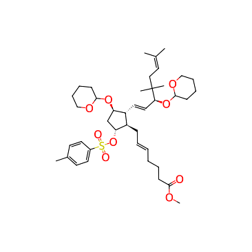 COC(=O)CCCC=CC[C@@H]1[C@@H](C=C[C@H](OC2CCCCO2)C(C)(C)CC=C(C)C)[C@H](OC2CCCCO2)C[C@H]1OS(=O)(=O)c1ccc(C)cc1